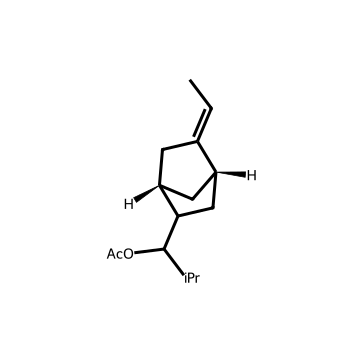 CC=C1C[C@@H]2C[C@H]1CC2C(OC(C)=O)C(C)C